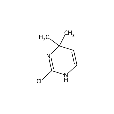 CC1(C)C=CNC(Cl)=N1